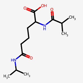 CC(C)NC(=O)CCCC(NC(=O)C(C)C)C(=O)O